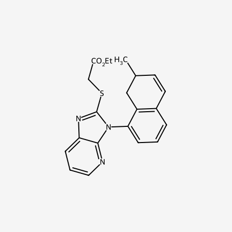 CCOC(=O)CSc1nc2cccnc2n1-c1cccc2c1CC(C)C=C2